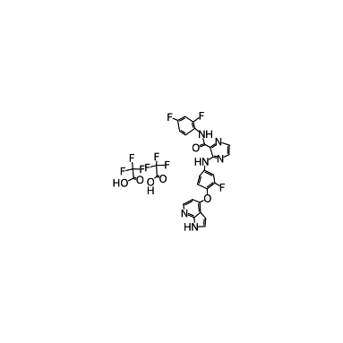 O=C(Nc1ccc(F)cc1F)c1nccnc1Nc1ccc(Oc2ccnc3[nH]ccc23)c(F)c1.O=C(O)C(F)(F)F.O=C(O)C(F)(F)F